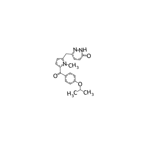 CC(C)Oc1ccc(C(=O)c2ccc(Cc3ccc(=O)[nH]n3)n2C)cc1